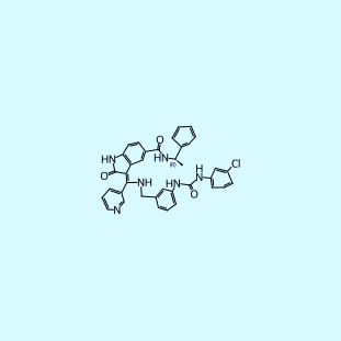 C[C@@H](NC(=O)c1ccc2c(c1)C(=C(NCc1cccc(NC(=O)Nc3cccc(Cl)c3)c1)c1cccnc1)C(=O)N2)c1ccccc1